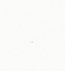 COc1ccc(F)cc1[C@H](CN1C(=O)N(C(C)(C)C(=O)O)S(=O)(=O)c2c1sc(-c1ncco1)c2C)OC(C)C